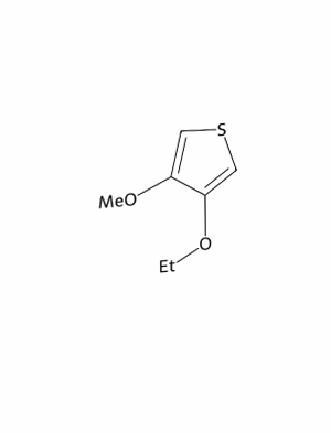 CCOc1cscc1OC